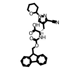 N#Cc1nn(C2CCCCO2)cc1C[C@H](NC(=O)OCC1c2ccccc2-c2ccccc21)C(=O)O